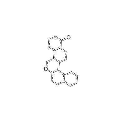 O=c1cccc2c1ccc1c2coc2ccc3ccccc3c21